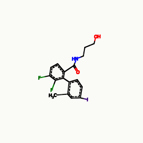 Cc1cc(I)ccc1-c1c(C(=O)NCCCO)ccc(F)c1F